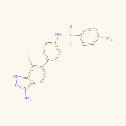 Nc1ccc(S(=O)(=O)Nc2ccc(-c3ccc4c(N)n[nH]c4c3F)cc2)cc1